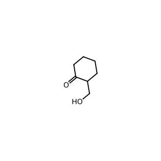 O=C1CCCCC1CO